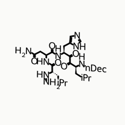 CCCCCCCCCCN[C@@H](CC(C)C)C(=O)C(=O)[C@H](Cc1cnc[nH]1)NC(=O)C(CC(N)=O)NC(=O)[C@H](CC(C)C)NN